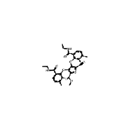 CCNC(=O)c1ccc(C)c(C)c1Oc1c(C#N)sc(C(=O)OC)c1Oc1c(C(=O)NCC)ccc(C)c1C